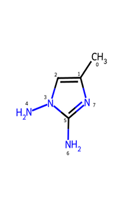 Cc1cn(N)c(N)n1